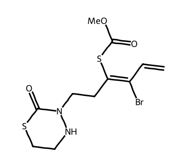 C=C/C(Br)=C(/CCN1NCCSC1=O)SC(=O)OC